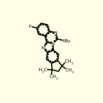 CC(C)(C)c1nc2ccc(F)cc2c2nc3cc4c(cc3n12)C(C)(C)CC4(C)C